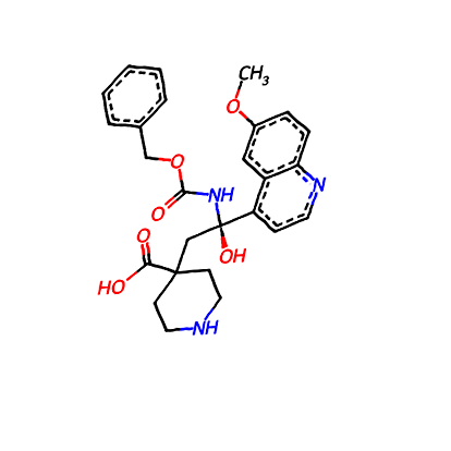 COc1ccc2nccc([C@](O)(CC3(C(=O)O)CCNCC3)NC(=O)OCc3ccccc3)c2c1